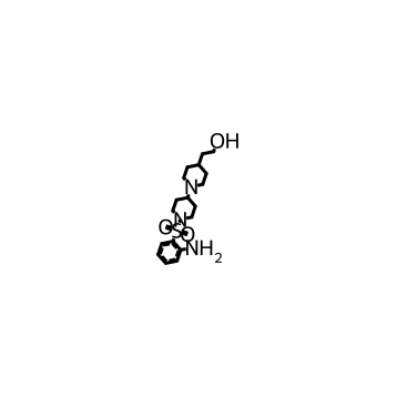 Nc1ccccc1S(=O)(=O)N1CCC(N2CCC(CCO)CC2)CC1